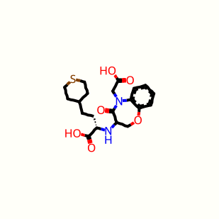 O=C(O)CN1C(=O)C(N[C@@H](CCC2CCSCC2)C(=O)O)COc2ccccc21